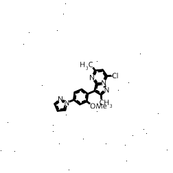 COc1cc(-n2cccn2)ccc1-c1c(C)nn2c(Cl)cc(C)nc12